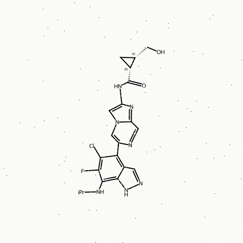 CC(C)Nc1c(F)c(Cl)c(-c2cn3cc(NC(=O)[C@@H]4C[C@@H]4CO)nc3cn2)c2cn[nH]c12